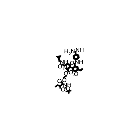 C=Cc1cc(C(=O)Nc2ccc(C(=N)N)cc2)c(-c2ccc(C(=O)NCC3CC3)nc2C(=O)OCCOC(=O)[C@@H](NC(=O)OC(C)(C)C)C(C)CC)cc1OC